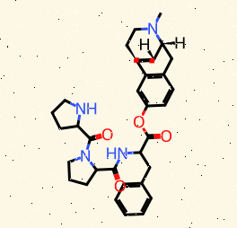 CN1CC[C@]23CCCC[C@H]2[C@H]1Cc1ccc(OC(=O)C(Cc2ccccc2)NC(=O)C2CCCN2C(=O)C2CCCN2)cc13